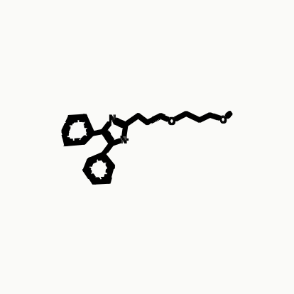 COCCCOCCCC1=NC(c2ccccc2)=C(c2ccccc2)[N]1